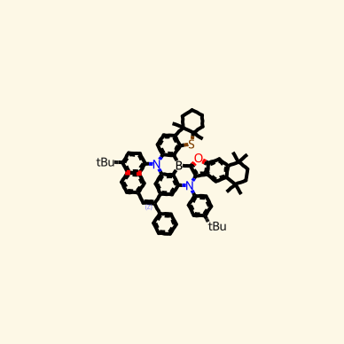 CC(C)(C)c1ccc(N2c3cc(/C(=C\c4ccccc4)c4ccccc4)cc4c3B(c3oc5cc6c(cc5c3N4c3ccc(C(C)(C)C)cc3)C(C)(C)CCC6(C)C)c3c2ccc2c3SC3(C)CCCCC23C)cc1